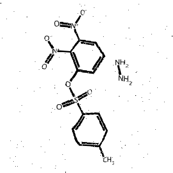 Cc1ccc(S(=O)(=O)Oc2cccc([N+](=O)[O-])c2[N+](=O)[O-])cc1.NN